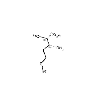 CC(C)SCC[C@@H](N)[C@H](O)C(=O)O